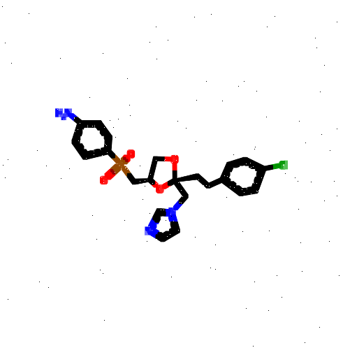 Nc1ccc(S(=O)(=O)C[C@H]2CO[C@](CCc3ccc(Cl)cc3)(Cn3ccnc3)O2)cc1